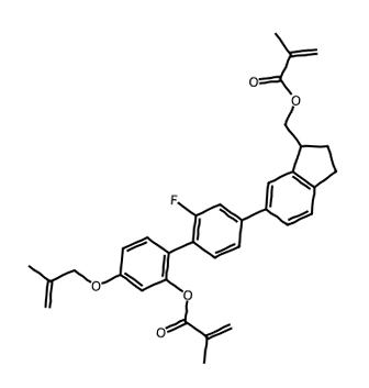 C=C(C)COc1ccc(-c2ccc(-c3ccc4c(c3)C(COC(=O)C(=C)C)CC4)cc2F)c(OC(=O)C(=C)C)c1